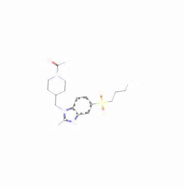 CCC(=O)N1CCC(Cn2c(C(C)(C)C)nc3cc(S(=O)(=O)CCCC(F)(F)F)ccc32)CC1